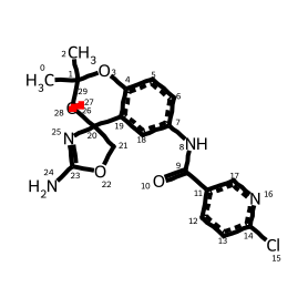 CC1(C)Oc2ccc(NC(=O)c3ccc(Cl)nc3)cc2C2(COC(N)=N2)C12COC2